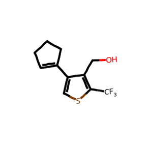 OCc1c(C2=CCCC2)csc1C(F)(F)F